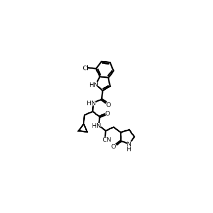 N#CC(CC1CCNC1=O)NC(=O)C(CC1CC1)NC(=O)c1cc2cccc(Cl)c2[nH]1